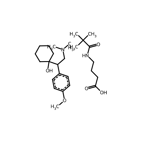 CC(C)(C)C(=O)NCCCC(=O)O.COc1ccc(C(CN(C)C)C2(O)CCCCC2)cc1